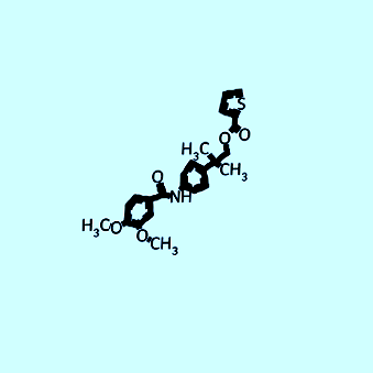 COc1ccc(C(=O)Nc2ccc(C(C)(C)COC(=O)c3cccs3)cc2)cc1OC